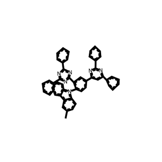 Cc1ccc2c(c1)c1ccccc1n2-c1ccc(-c2cc(-c3ccccc3)nc(-c3ccccc3)n2)cc1-c1nc(-c2ccccc2)nc(-c2ccccc2)n1